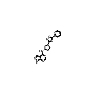 c1ccc(-c2nc(N3CC[C@H](Nc4ncnc5[nH]ncc45)C3)no2)nc1